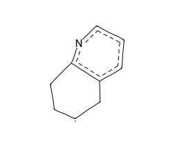 [CH]1CCc2ncccc2C1